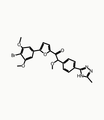 COc1cc(-c2ccc(C(=O)C(OC)c3ccc(-c4nnc(C)[nH]4)cc3)o2)cc(OC)c1Br